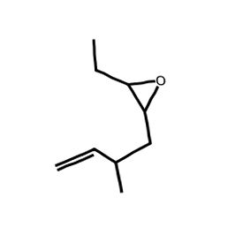 C=CC(C)CC1OC1CC